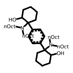 CCCCCCCCN(CCCCCCCC)C1(c2ccc(C3(N(CCCCCCCC)CCCCCCCC)CCCCC3O)cc2)CCCCC1O